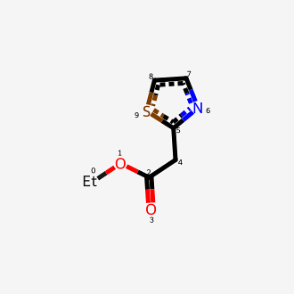 CCOC(=O)Cc1nccs1